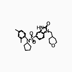 Cc1ccc(N(C2CCCC2)S(=O)(=O)c2ccc3c(c2)[nH]c(=O)n3CC2CCOCC2)c(C)c1